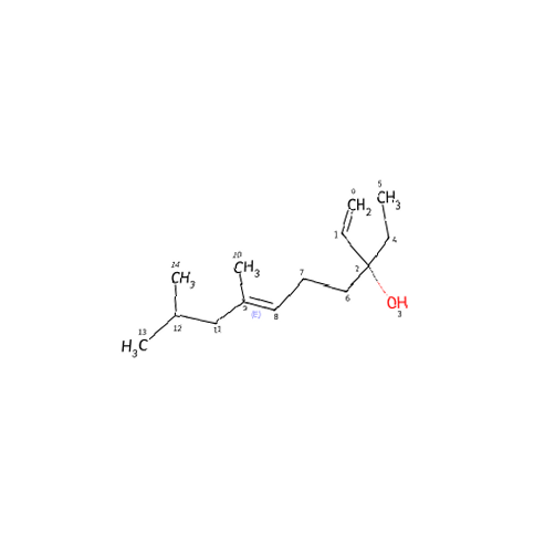 C=CC(O)(CC)CC/C=C(\C)CC(C)C